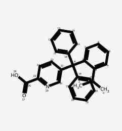 CC(C)c1ccccc1C(c1ccccc1)(c1ccccc1)c1ccc(C(=O)O)nc1